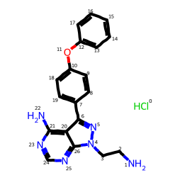 Cl.NCCn1nc(-c2ccc(Oc3ccccc3)cc2)c2c(N)ncnc21